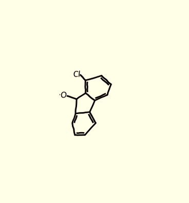 [O]C1c2ccccc2-c2cccc(Cl)c21